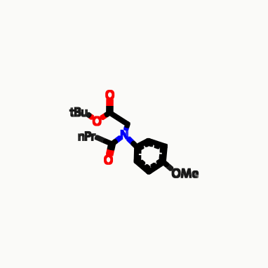 CCCC(=O)N(CC(=O)OC(C)(C)C)c1ccc(OC)cc1